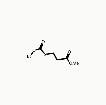 CCOC(=O)SCCC(=O)OC